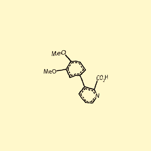 COc1ccc(-c2cccnc2C(=O)O)cc1OC